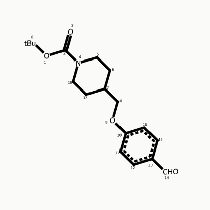 CC(C)(C)OC(=O)N1CCC(COc2ccc(C=O)cc2)CC1